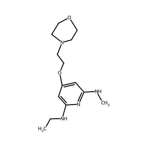 CCNc1cc(OCCN2CCOCC2)cc(NC)n1